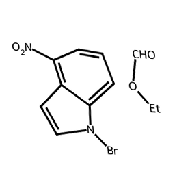 CCOC=O.O=[N+]([O-])c1cccc2c1ccn2Br